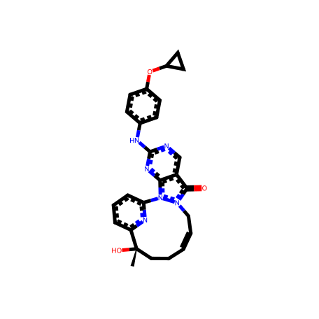 C[C@]1(O)CC/C=C\Cn2c(=O)c3cnc(Nc4ccc(OC5CC5)cc4)nc3n2-c2cccc1n2